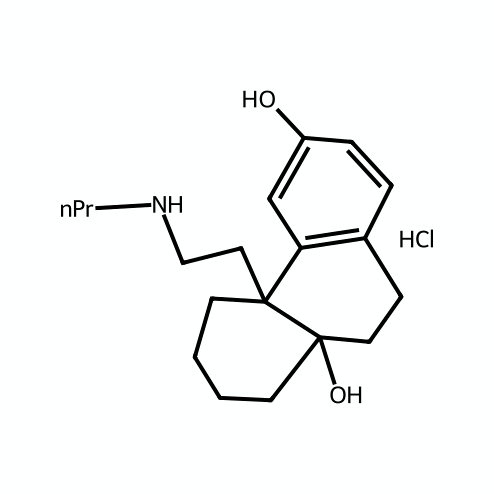 CCCNCCC12CCCCC1(O)CCc1ccc(O)cc12.Cl